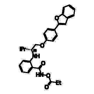 CCC(=O)ONC(=O)c1ccccc1N[C@@H](COc1ccc(-c2cc3ccccc3o2)cc1)C(C)C